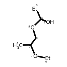 CCOC(C)COC(O)CC